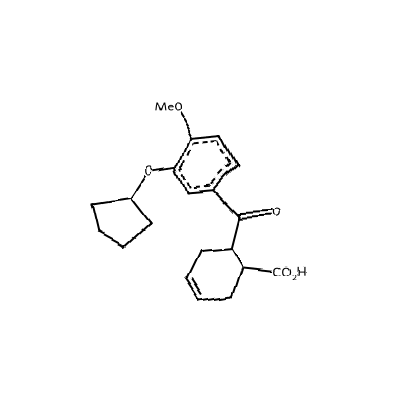 COc1ccc(C(=O)C2CC=CCC2C(=O)O)cc1OC1CCCC1